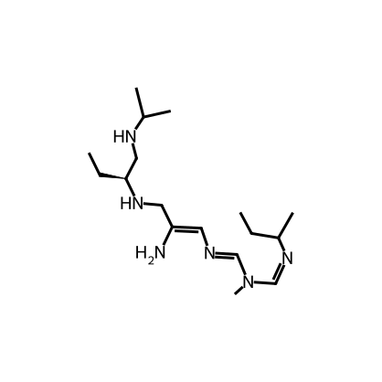 CCC(C)/N=C\N(C)/C=N/C=C(\N)CN[C@@H](CC)CNC(C)C